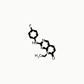 CCn1c(=O)ccc2cnc(Nc3ccc(F)cc3)nc21